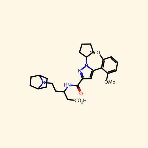 COc1cccc(OC)c1-c1cc(C(=O)NC(CCN2C3CCC2CC3)CC(=O)O)nn1C1CCCC1